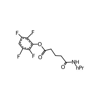 CCCNC(=O)CCCC(=O)Oc1c(F)c(F)cc(F)c1F